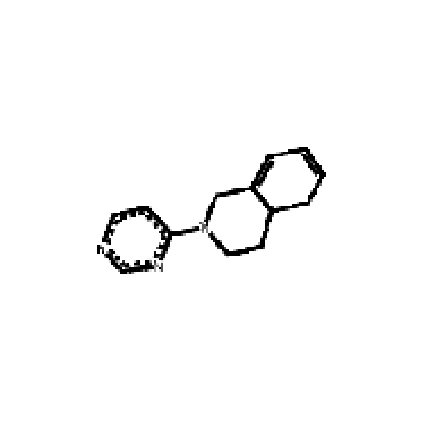 C1=CCC2CCN(c3ccncn3)CC2=C1